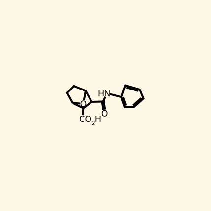 O=C(O)C1C2CCC(O2)C1C(=O)Nc1ccccc1